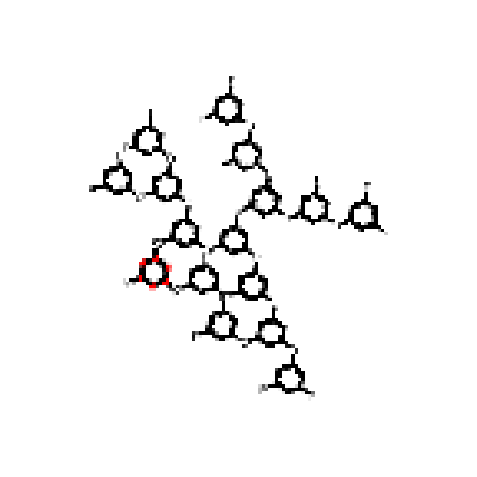 Fc1cc(F)cc(Oc2cc(F)cc(Oc3cc(Oc4cc(F)cc(Oc5cc(F)cc(F)c5)c4)cc(Oc4cc(Oc5cc(Oc6cc(F)cc(F)c6)cc(Oc6cc(Oc7cc(F)cc(F)c7)cc(Oc7cc(F)cc(F)c7)c6)c5)cc(Oc5cc(Oc6cc(F)cc(Oc7cc(F)cc(F)c7)c6)cc(Oc6cc(Oc7cc(F)cc(F)c7)cc(Oc7cc(F)cc(F)c7)c6)c5)c4)c3)c2)c1